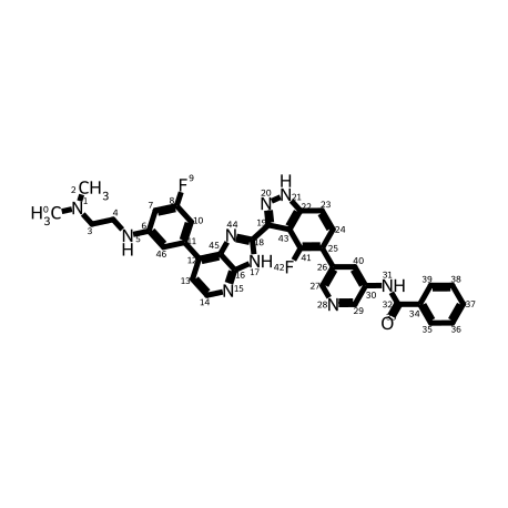 CN(C)CCNc1cc(F)cc(-c2ccnc3[nH]c(-c4n[nH]c5ccc(-c6cncc(NC(=O)c7ccccc7)c6)c(F)c45)nc23)c1